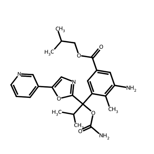 Cc1c(N)cc(C(=O)OCC(C)C)cc1C(OC(N)=O)(c1ncc(-c2cccnc2)o1)C(C)C